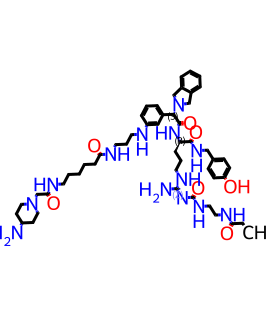 CCC(=O)NCCNC(=O)/N=C(/N)NCCC[C@@H](NC(=O)[C@H](c1cccc(NCCCNC(=O)CCCCCNC(=O)CN2CCC(N)CC2)c1)N1Cc2ccccc2C1)C(=O)NCc1ccc(O)cc1